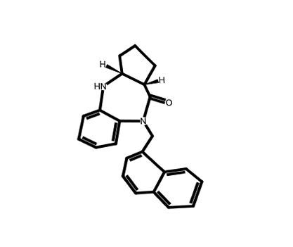 O=C1[C@H]2CCC[C@H]2Nc2ccccc2N1Cc1cccc2ccccc12